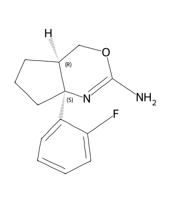 NC1=N[C@@]2(c3ccccc3F)CCC[C@H]2CO1